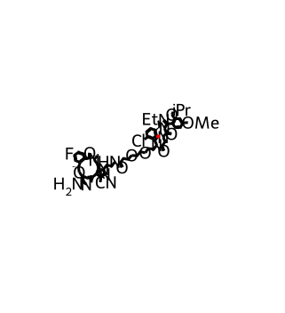 CC[C@H]1N=C(c2ccc(OC)cc2OC(C)C)N(C(=O)N2CCN(CCOCCOCCC(=O)NCCn3nc(C#N)c4c3CN(C)C(=O)c3ccc(F)cc3[C@@H](C)Oc3cc-4cnc3N)C(=O)C2)[C@H]1c1ccc(Cl)cc1